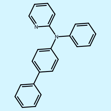 c1ccc(-c2ccc(N(c3ccccc3)c3ccccn3)cc2)cc1